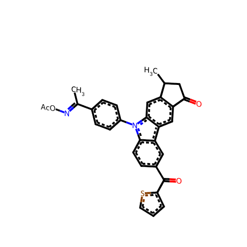 CC(=O)ON=C(C)c1ccc(-n2c3ccc(C(=O)c4cccs4)cc3c3cc4c(cc32)C(C)CC4=O)cc1